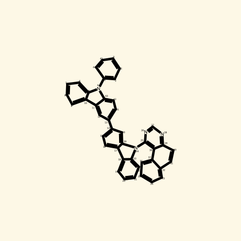 c1ccc(-n2c3ccccc3c3cc(-c4ccc5c6ccccc6n(-c6ncnc7ccc8ccccc8c67)c5c4)ccc32)cc1